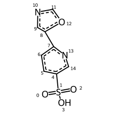 O=S(=O)(O)c1ccc(-c2cnco2)nc1